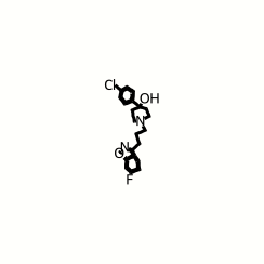 OC1(c2ccc(Cl)cc2)CCN(CCCc2noc3cc(F)ccc23)CC1